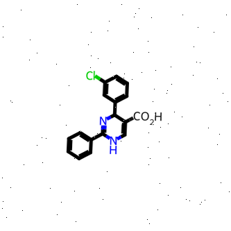 O=C(O)C1=CNC(c2ccccc2)=NC1c1cccc(Cl)c1